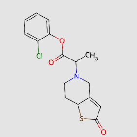 CC(C(=O)Oc1ccccc1Cl)N1CCC2SC(=O)C=C2C1